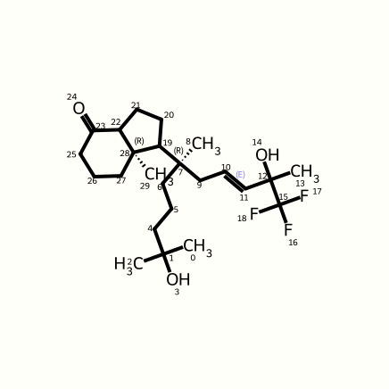 CC(C)(O)CCC[C@](C)(C/C=C/C(C)(O)C(F)(F)F)C1CCC2C(=O)CCC[C@@]21C